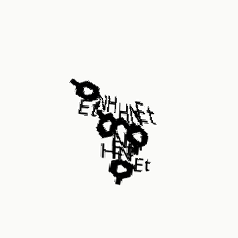 CCNc1ccc(CNc2ccc(C)cc2CC)cc1Cc1cc(CNc2ccc(C)cc2CC)ccc1NCC